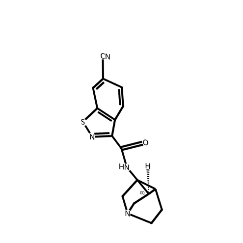 N#Cc1ccc2c(C(=O)N[C@@H]3CN4CCC3CC4)nsc2c1